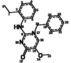 CCc1ccccc1Nc1nc(=O)c(OC)cn1Cc1ccccc1